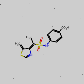 C=c1scn/c1=C(/C)S(=O)(=O)Nc1ccc(C(=O)O)cc1